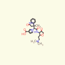 CN(C)CCC1OCC(=O)C1NC(=O)C(n1ccc(C(=O)O)c1)C(C)(CC(N)=O)c1ccccc1